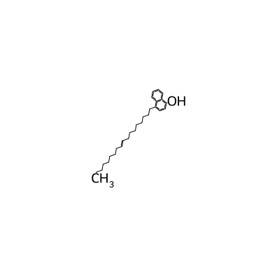 CCCCCCCCC=CCCCCCCCCc1ccc(O)c2ccccc12